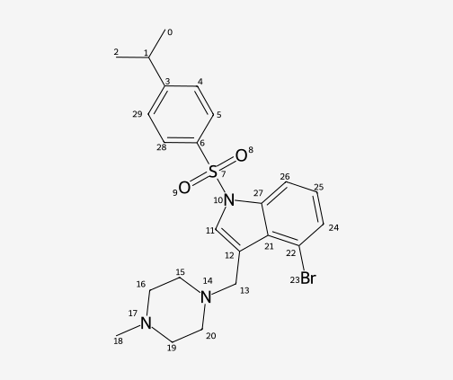 CC(C)c1ccc(S(=O)(=O)n2cc(CN3CCN(C)CC3)c3c(Br)cccc32)cc1